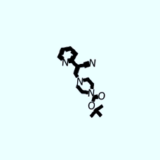 CC(C)(C)OC(=O)N1CCN(C=C(C#N)c2ccccn2)CC1